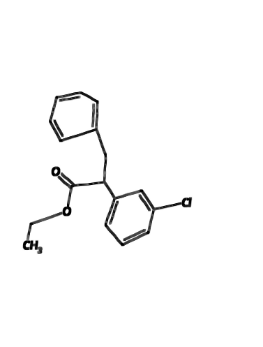 CCOC(=O)C(Cc1ccccc1)c1cccc(Cl)c1